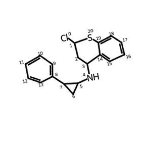 ClC1CC(NC2CC2c2ccccc2)c2ccccc2S1